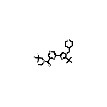 CCN(CC(F)(F)F)C(=O)c1cncc(-c2cn(CC3CCOCC3)c(C(C)(C)C)n2)n1